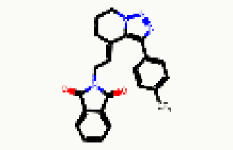 O=C1c2ccccc2C(=O)N1C/C=C1\CCCn2nnc(-c3ccc(C(F)(F)F)cc3)c21